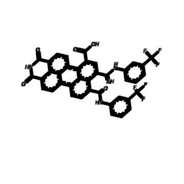 N=C(Nc1cccc(C(F)(F)F)c1)c1cc(C(=O)O)c2c3ccc4c5c(ccc(c6ccc(C(=O)Nc7cccc(C(F)(F)F)c7)c1c62)c53)C(=O)NC4=O